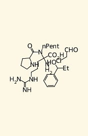 CCC(O)c1ccccc1.CCCCCN(C(=O)C1CCCN1)C(N)(CCCNC(=N)N)C(=O)O.O=CCCl